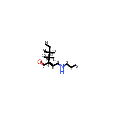 CCCNC/C=C(/C=O)C(C)(C)C(C)(C)CC